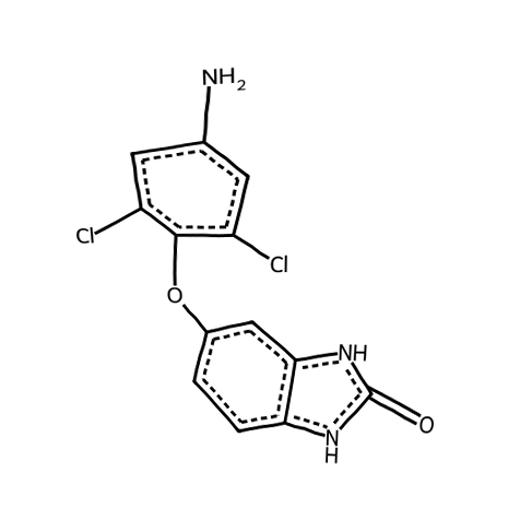 Nc1cc(Cl)c(Oc2ccc3[nH]c(=O)[nH]c3c2)c(Cl)c1